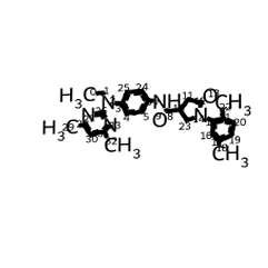 CCN(c1ccc(NC(=O)C2CC(=O)N(c3cc(C)ccc3C)C2)cc1)c1nc(C)cc(C)n1